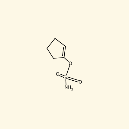 NS(=O)(=O)OC1=CCCC1